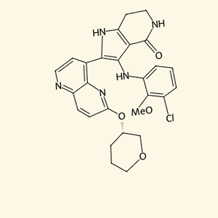 COc1c(Cl)cccc1Nc1c(-c2ccnc3ccc(O[C@H]4CCCOC4)nc23)[nH]c2c1C(=O)NCC2